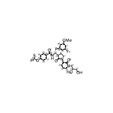 COc1cc(F)c([C@@H]2CN(c3cccn(CC(O)CO)c3=O)C(=O)C2CNC(=O)c2ccc(OC(F)F)cc2)c(F)c1